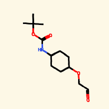 CC(C)(C)OC(=O)NC1CCC(OCC=O)CC1